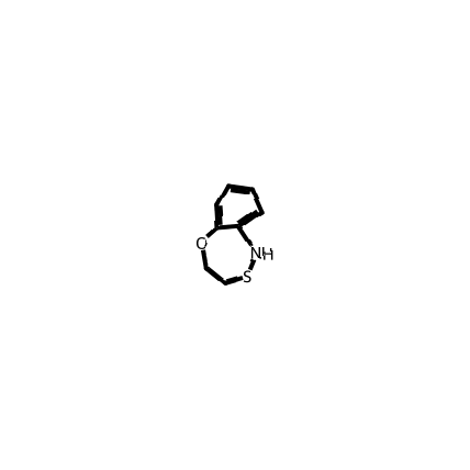 c1ccc2c(c1)NSCCO2